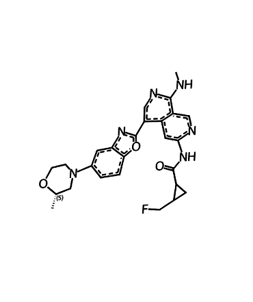 CNc1ncc(-c2nc3cc(N4CCO[C@@H](C)C4)ccc3o2)c2cc(NC(=O)C3CC3CF)ncc12